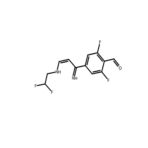 N=C(/C=C\NCC(F)F)c1cc(F)c(C=O)c(F)c1